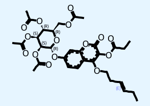 CC/C=C/CCOc1c(OC(=O)CC)c(=O)oc2cc(O[C@H]3O[C@H](COC(C)=O)[C@@H](OC(C)=O)[C@H](OC(C)=O)[C@@H]3OC(C)=O)ccc12